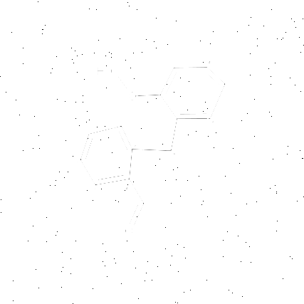 COc1ccccc1Cc1ccccc1C=O